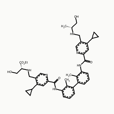 CCOC(=O)[C@@H](CO)NCc1cnc(C(=O)Nc2cccc(-c3cccc(NC(=O)c4cc(C5CC5)c(CN[C@H](C)CO)cn4)c3C)c2C)cc1C1CC1